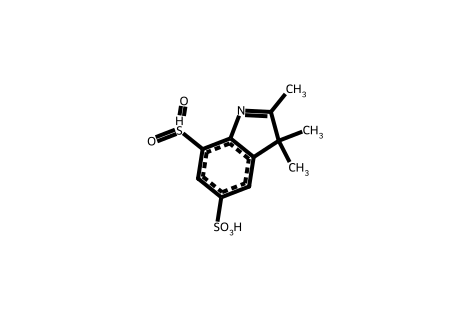 CC1=Nc2c([SH](=O)=O)cc(S(=O)(=O)O)cc2C1(C)C